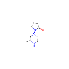 CC1CN(N2CCCC2=O)CCN1